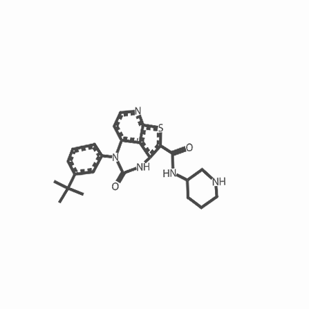 CC(C)(C)c1cccc(N2C(=O)Nc3c(C(=O)NC4CCCNC4)sc4nccc2c34)c1